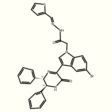 O=C(Cn1cc(C2=N[C@@H](c3ccccc3)[C@H](c3ccccc3)NC2=O)c2cc(Br)ccc21)NN=Cc1cccs1